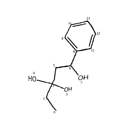 C[CH]C(O)(O)CC(O)c1ccccc1